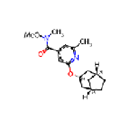 CON(C)C(=O)c1cc(C)nc(O[C@@H]2C[C@@H]3CC[C@@H](C3)C2)c1